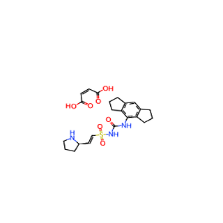 O=C(Nc1c2c(cc3c1CCC3)CCC2)NS(=O)(=O)/C=C/[C@H]1CCCN1.O=C(O)/C=C\C(=O)O